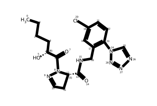 CCCC[C@@H](O)C(=O)N1N=CC[C@H]1C(=O)NCc1cc(Cl)ccc1-n1cnnn1